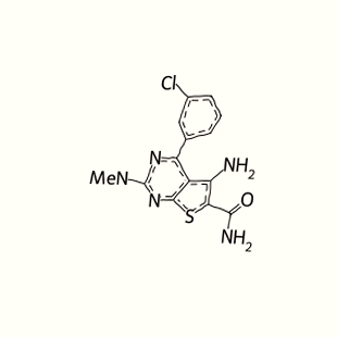 CNc1nc(-c2cccc(Cl)c2)c2c(N)c(C(N)=O)sc2n1